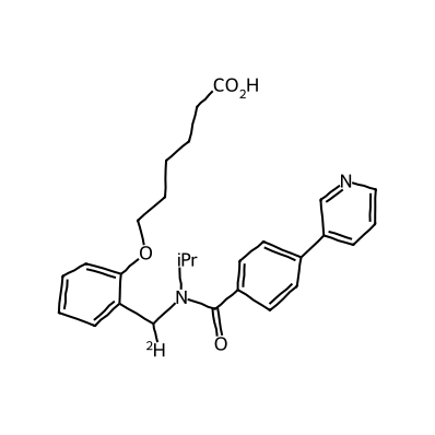 [2H]C(c1ccccc1OCCCCCC(=O)O)N(C(=O)c1ccc(-c2cccnc2)cc1)C(C)C